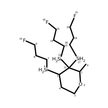 CC1OCCC([SiH2]CCCF)C1([SiH2]CCCF)[SiH2]CCCF